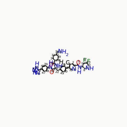 Cc1cc(C(=O)NC2CNCC(F)(F)C2)ncc1-c1ccc(C[C@H](NC(=O)C2CCC(CN)CC2)C(=O)Nc2ccc(-c3nnn[nH]3)cc2)cc1